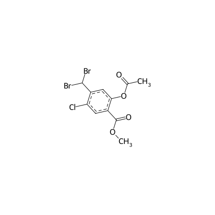 COC(=O)c1cc(Cl)c(C(Br)Br)cc1OC(C)=O